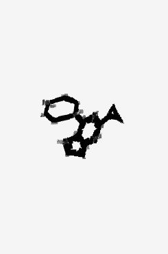 c1cc2nc(C3CC3)nc(N3CCNCC3)c2s1